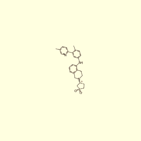 Cc1ccc(-c2cc(Nc3cccc4c3CCN([C@H]3CCS(=O)(=O)C3)C4)ccc2C)nc1